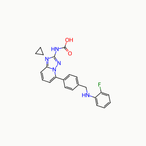 C1CC1.O=C(O)Nc1nc2cccc(-c3ccc(CNc4ccccc4F)cc3)n2n1